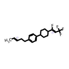 C/C=C/CCc1ccc(C2CCC(/C(F)=C/C(F)(F)F)CC2)cc1